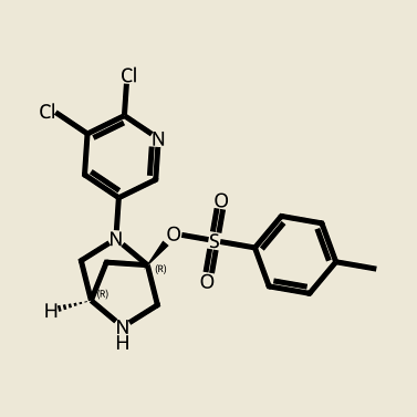 Cc1ccc(S(=O)(=O)O[C@]23CN[C@@H](CN2c2cnc(Cl)c(Cl)c2)C3)cc1